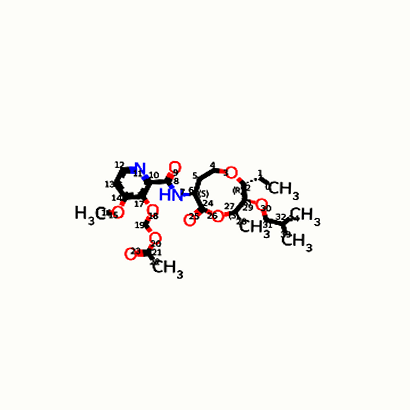 CC[C@H]1OCC[C@H](NC(=O)c2nccc(OC)c2OCOC(C)=O)C(=O)O[C@@H](C)[C@@H]1OCC(C)C